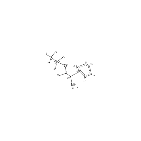 CC(O[Si](C)(C)C(C)(C)C)C(N)c1ncccn1